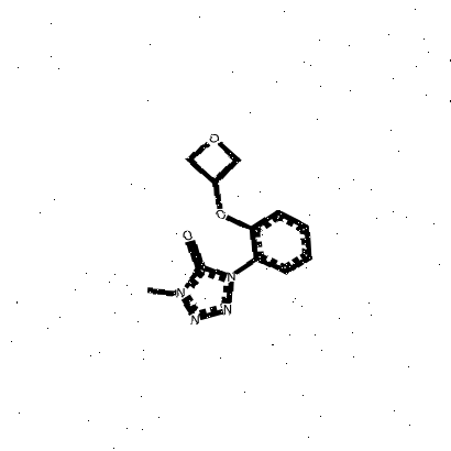 Cn1nnn(-c2ccccc2OC2COC2)c1=O